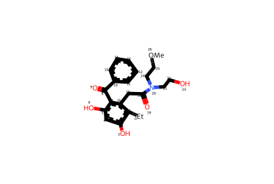 CCc1c(O)cc(O)c(C(=O)c2ccccc2)c1CC(=O)N(CCO)CCOC